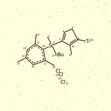 CCCC[Si](C)(C1=CC[C]([Ti+3])=C1C)c1c(C)cc(C)cc1C.[Cl-].[Cl-].[Cl-]